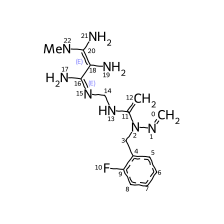 C=NN(Cc1ccccc1F)C(=C)NC/N=C(N)\C(N)=C(\N)NC